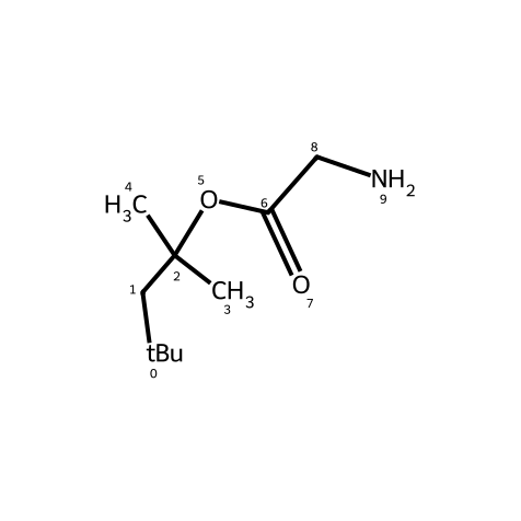 CC(C)(C)CC(C)(C)OC(=O)CN